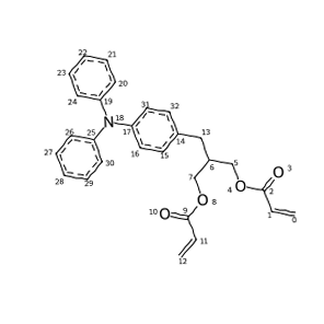 C=CC(=O)OCC(COC(=O)C=C)Cc1ccc(N(c2ccccc2)c2ccccc2)cc1